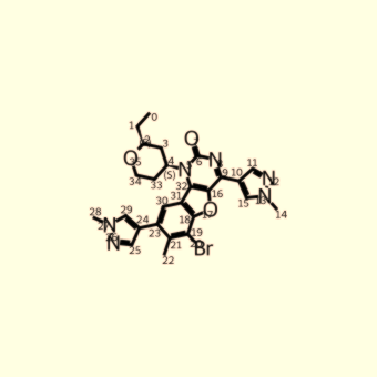 CC[C@H]1C[C@@H](n2c(=O)nc(-c3cnn(C)c3)c3oc4c(Br)c(C)c(-c5cnn(C)c5)cc4c32)CCO1